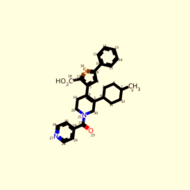 CC1CCC(C2=C(c3cc(-c4ccccc4)sc3C(=O)O)CCN(C(=O)c3ccncc3)C2)CC1